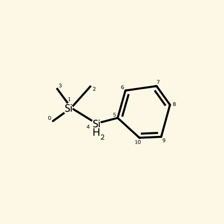 C[Si](C)(C)[SiH2]c1ccccc1